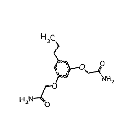 [CH2]CCc1cc(OCC(N)=O)cc(OCC(N)=O)c1